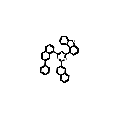 c1ccc(-c2ccc3cccc(-c4nc(-c5ccc6ccccc6c5)nc(-c5cccc6oc7ccccc7c56)n4)c3c2)cc1